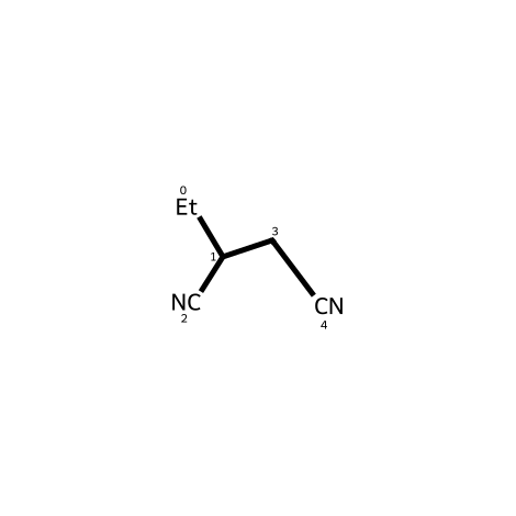 CCC(C#N)CC#N